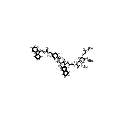 CC(C)(C)OC(=O)CC[C@@H](NC(=O)N[C@@H](CCCCNC(=O)[C@H](Cc1ccc2ccccc2c1)NC(=O)c1ccc(CNC(=O)OCC2c3ccccc3-c3ccccc32)cn1)C(=O)OC(C)(C)C)C(=O)OC(C)(C)C